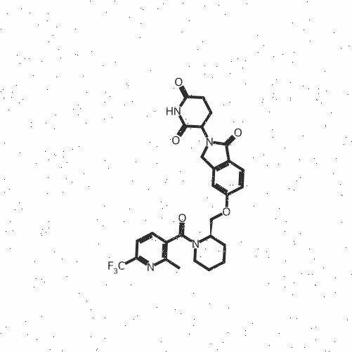 Cc1nc(C(F)(F)F)ccc1C(=O)N1CCCC[C@@H]1COc1ccc2c(c1)CN(C1CCC(=O)NC1=O)C2=O